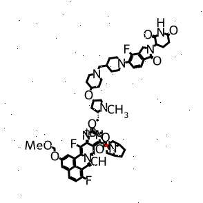 C#Cc1c(F)ccc2cc(OCOC)cc(-c3ncc4c(N5CC6CCC(C5)N6C(=O)OC(C)(C)C)nc(OC[C@@H]5C[C@@H](OC6CCN(CC7CCN(c8ccc9c(c8F)CN(C8CCC(=O)NC8=O)C9=O)CC7)CC6)CN5C)nc4c3F)c12